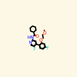 COCCOc1cc(F)ccc1-c1cc(NC(=O)C2CCCCC2)ncc1F